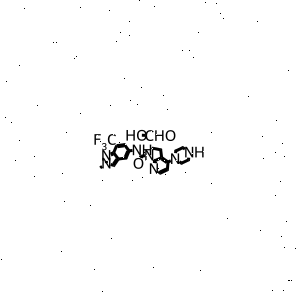 Cn1cc2cc(NC(=O)N3CCc4c(N5CCNCC5)ccnc43)cc(C(F)(F)F)c2n1.O=CO